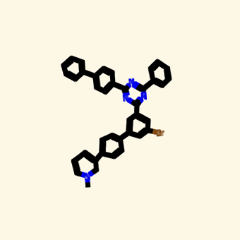 CN1C=CC=C(c2ccc(-c3cc(Br)cc(-c4nc(-c5ccccc5)nc(-c5ccc(-c6ccccc6)cc5)n4)c3)cc2)C1